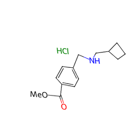 COC(=O)c1ccc(CNCC2CCC2)cc1.Cl